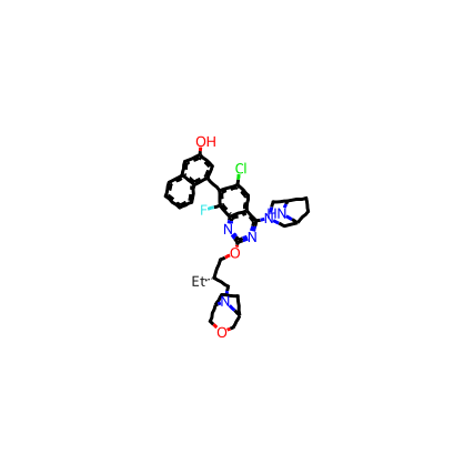 CC[C@H](COc1nc(N2CC3CCC(C2)N3)c2cc(Cl)c(-c3cc(O)cc4ccccc34)c(F)c2n1)CN1C2CCC1COC2